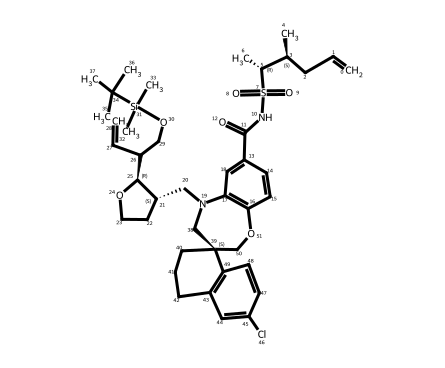 C=CC[C@H](C)[C@@H](C)S(=O)(=O)NC(=O)c1ccc2c(c1)N(C[C@@H]1CCO[C@H]1C(C=C)CO[Si](C)(C)C(C)(C)C)C[C@@]1(CCCc3cc(Cl)ccc31)CO2